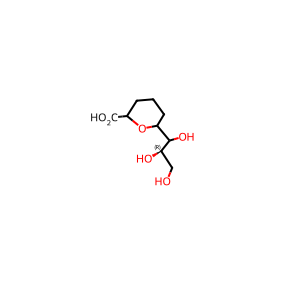 O=C(O)C1CCCC(C(O)[C@H](O)CO)O1